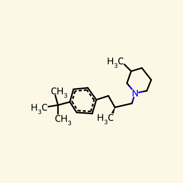 CC1CCCN(C[C@@H](C)Cc2ccc(C(C)(C)C)cc2)C1